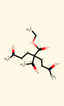 CCOC(=O)C(CCC(C)=O)(CCC(C)=O)C(C)=O